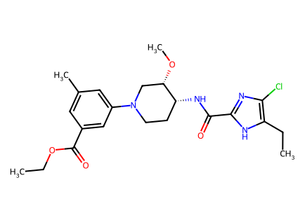 CCOC(=O)c1cc(C)cc(N2CC[C@@H](NC(=O)c3nc(Cl)c(CC)[nH]3)[C@@H](OC)C2)c1